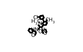 Cc1ccc2c(N3CCOCC3)c(C(=O)N[C@H]3CCOc4ccccc43)cnc2c1-c1cccc(Cl)c1C